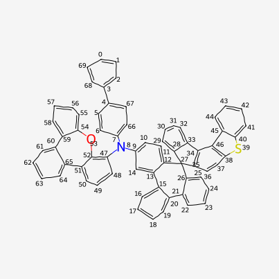 c1ccc(-c2ccc(N(c3ccc4c(c3)-c3ccccc3-c3ccccc3C43c4ccccc4-c4c3ccc3sc5ccccc5c43)c3cccc4c3Oc3ccccc3-c3ccccc3-4)cc2)cc1